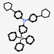 c1ccc([Si](c2ccccc2)(c2ccccc2)c2ccc(N(c3ccc(C4CCCCC4)cc3)c3ccc(C4CCCCC4)cc3)cc2)cc1